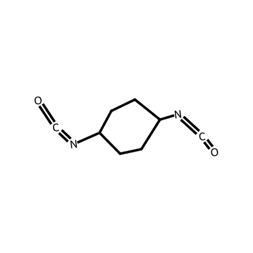 O=C=NC1CCC(N=C=O)CC1